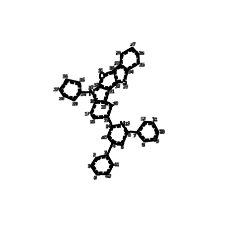 c1ccc(-c2cc(-c3ccccc3)nc(-c3ccc4c(c3)c3c5sc6ccccc6c5oc3n4-c3ccccc3)c2)cc1